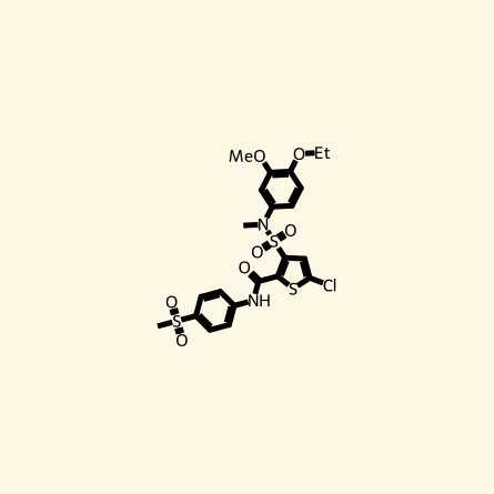 CCOc1ccc(N(C)S(=O)(=O)c2cc(Cl)sc2C(=O)Nc2ccc(S(C)(=O)=O)cc2)cc1OC